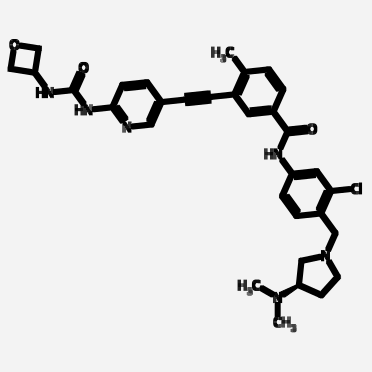 Cc1ccc(C(=O)Nc2ccc(CN3CC[C@@H](N(C)C)C3)c(Cl)c2)cc1C#Cc1ccc(NC(=O)NC2COC2)nc1